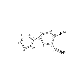 N#Cc1cc(-c2ccncc2)ccc1F